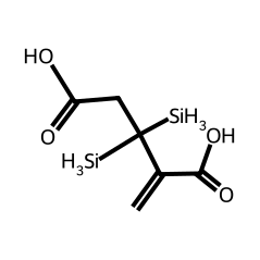 C=C(C(=O)O)C([SiH3])([SiH3])CC(=O)O